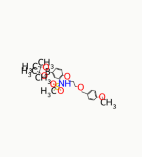 COc1ccc(COCCCOc2ccc(B3OC(C)(C)C(C)(C)O3)cc2NS(C)(=O)=O)cc1